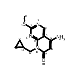 CSc1ncc2c(N)cc(=O)n(CC3CC3)c2n1